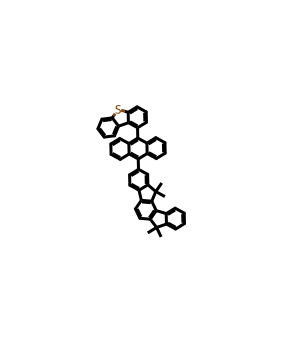 CC1(C)c2ccccc2-c2c1ccc1c2C(C)(C)c2cc(-c3c4ccccc4c(-c4cccc5sc6ccccc6c45)c4ccccc34)ccc2-1